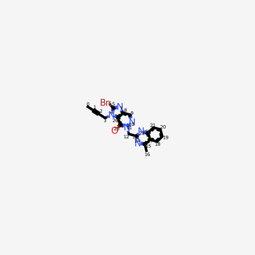 CC#CCn1c(Br)nc2cnn(Cc3nc(C)c4ccccc4n3)c(=O)c21